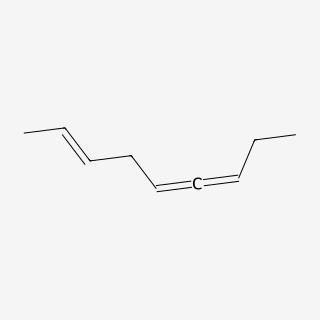 CC=CCC=C=CCC